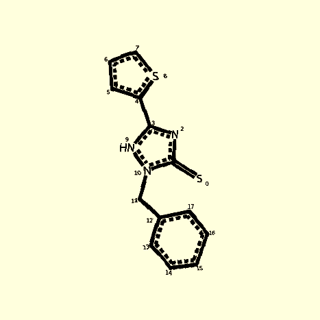 S=c1nc(-c2cccs2)[nH]n1Cc1ccccc1